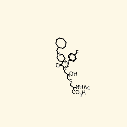 CC(=O)NC(CSC[C@H](O)CN1CN(c2ccc(F)cc2)C2(CCN(CC3CCCCCCC3)CC2)C1=O)C(=O)O